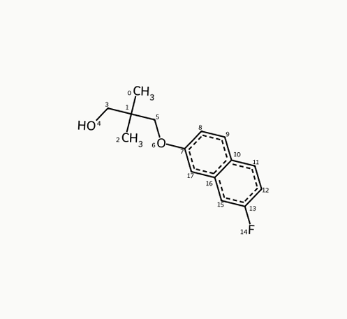 CC(C)(CO)COc1ccc2ccc(F)cc2c1